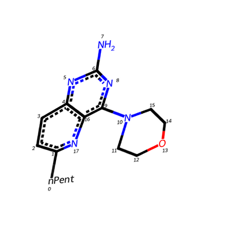 CCCCCc1ccc2nc(N)nc(N3CCOCC3)c2n1